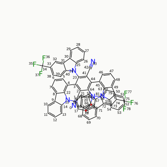 N#Cc1c(-c2cccc3c4ccccc4n(-c4ccccc4)c23)c(-n2c3ccccc3c3cc(C(F)(F)F)ccc32)c(C#N)c(-c2cccc3c4ccccc4n(-c4ccccc4)c23)c1-n1c2ccccc2c2cc(C(F)(F)F)ccc21